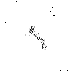 Cc1nc2nc(C)c(O[C@@H]3CCN(c4ccc(-c5ccc(CN6CCN7CCC[C@H]7C6)nn5)cc4)C3)c(C)n2n1